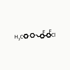 Cc1ccc([C@H]2CC[C@H](CCc3ccc(-c4ccc(Cl)c(F)c4)c(F)c3)CC2)cc1